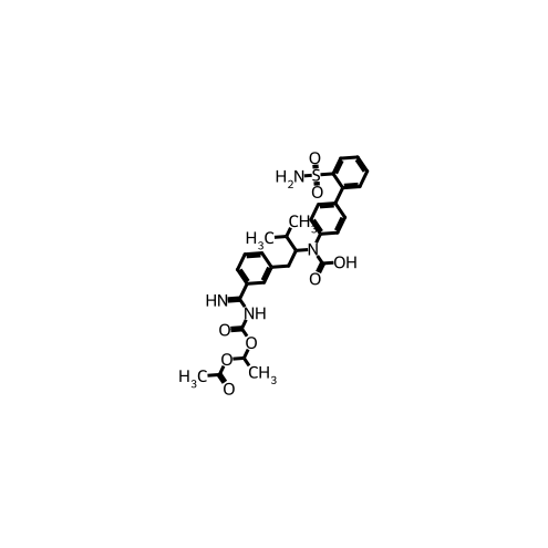 CC(=O)OC(C)OC(=O)NC(=N)c1cccc(CC(C(C)C)N(C(=O)O)c2ccc(-c3ccccc3S(N)(=O)=O)cc2)c1